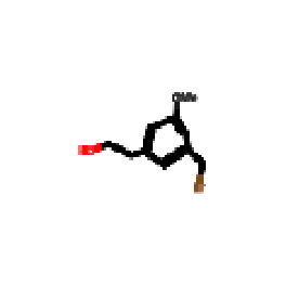 COc1cc(CBr)cc(CCO)c1